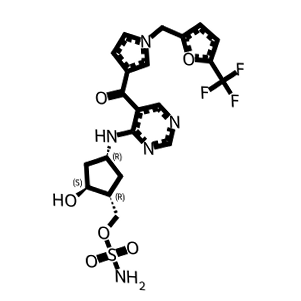 NS(=O)(=O)OC[C@H]1C[C@@H](Nc2ncncc2C(=O)c2ccn(Cc3ccc(C(F)(F)F)o3)c2)C[C@@H]1O